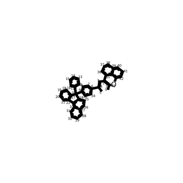 CC1=C(/C=C(\C)c2ccc(C3(c4ccccc4)c4ccccc4-c4c3ccc3ccccc43)cc2)c2cccc3cccc(c23)O1